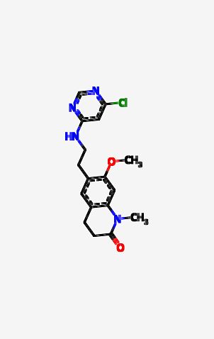 COc1cc2c(cc1CCNc1cc(Cl)ncn1)CCC(=O)N2C